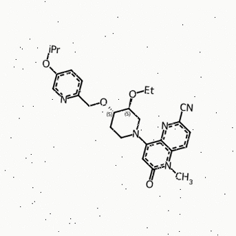 CCO[C@H]1CN(c2cc(=O)n(C)c3ccc(C#N)nc23)CC[C@@H]1OCc1ccc(OC(C)C)cn1